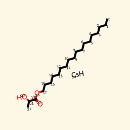 CCCCCCCCCCCCCCCCCCOC(=O)C(C)O.[CsH]